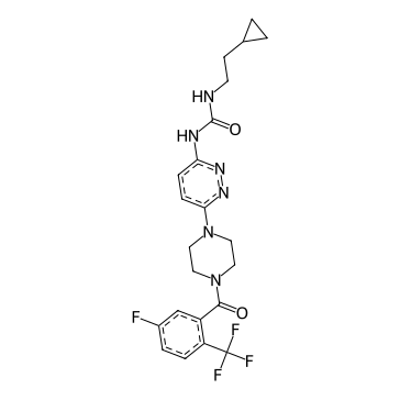 O=C(NCCC1CC1)Nc1ccc(N2CCN(C(=O)c3cc(F)ccc3C(F)(F)F)CC2)nn1